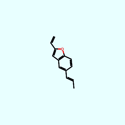 C=Cc1cc2cc(/C=C/C)ccc2o1